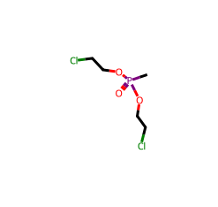 CP(=O)(OCCCl)OCCCl